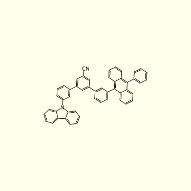 N#Cc1cc(-c2cccc(-c3c4ccccc4c(-c4ccccc4)c4ccccc34)c2)cc(-c2cccc(-n3c4ccccc4c4ccccc43)c2)c1